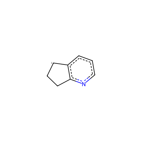 [C]1CCc2ncccc21